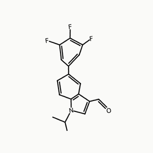 CC(C)n1cc(C=O)c2cc(-c3cc(F)c(F)c(F)c3)ccc21